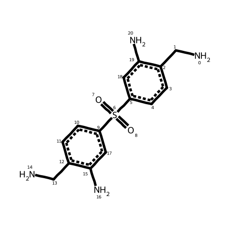 NCc1ccc(S(=O)(=O)c2ccc(CN)c(N)c2)cc1N